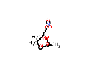 C/C=C1\CC2CC(=O)OC(/C=C/CCCCOC(=O)N3CCOCC3)C(C)/C=C/C(C)CC3CCCC(CC(C1)O2)O3